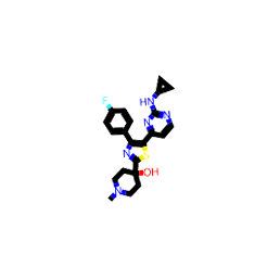 CN1CCC(O)(c2nc(-c3ccc(F)cc3)c(-c3ccnc(NC4CC4)n3)s2)CC1